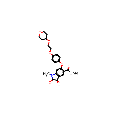 COC(=O)c1cc2c(cc1Oc1ccc(OCCOC3CCOCC3)cc1)N(C)C(=O)C2=O